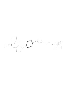 CC(C)S(=O)(=O)NCCCCCNc1ccc(N2CCC(O[Si](C)(C)C(C)(C)C)C2)cc1